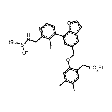 CCOC(=O)Cc1cc(C)c(C)cc1OCc1cc(-c2ccnc(CN[S@@+]([O-])C(C)(C)C)c2F)c2occc2c1